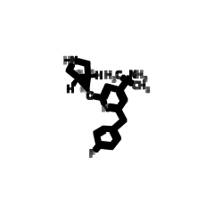 CC(C)(N)c1cc(Cc2ccc(F)cc2)nc(O[C@@H]2[C@@H]3CNC[C@@H]32)c1